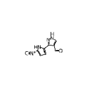 [C-]#[N+]c1ccc(-c2n[nH]cc2C=O)[nH]1